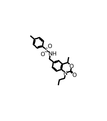 CCCN1C(=O)OC(C)c2cc(CNS(=O)(=O)c3ccc(C)cc3)ccc21